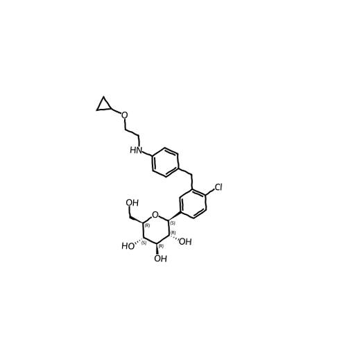 OC[C@H]1O[C@@H](c2ccc(Cl)c(Cc3ccc(NCCOC4CC4)cc3)c2)[C@H](O)[C@@H](O)[C@@H]1O